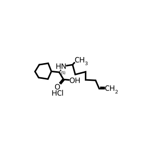 C=CCCCCC(C)N[C@H](C(=O)O)C1CCCCC1.Cl